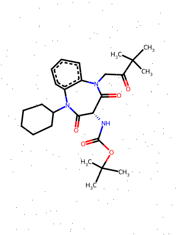 CC(C)(C)OC(=O)N[C@H]1C(=O)N(CC(=O)C(C)(C)C)c2ccccc2N(C2CCCCC2)C1=O